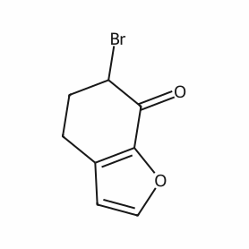 O=C1c2occc2CCC1Br